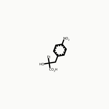 CCC(O)(Cc1ccc([N+](=O)[O-])cc1)C(=O)O